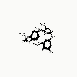 [CH2]n1c(=O)oc2ccc(Nc3nc(Nc4cc(C)c(F)c(OC)c4)ncc3C)cc21